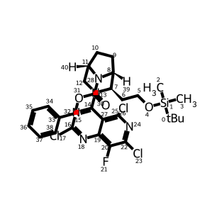 CC(C)(C)[Si](C)(C)OCC[C@@H]1[C@H]2CC[C@@H](CN1c1nc(Cl)nc3c(F)c(Cl)nc(Cl)c13)N2C(=O)OCc1ccccc1